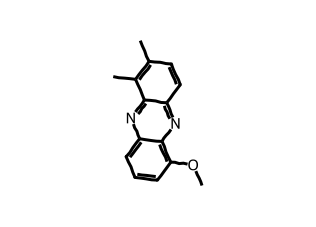 COc1cccc2nc3c(C)c(C)ccc3nc12